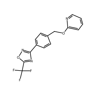 FC(F)(F)c1nc(-c2ccc(COc3ccccn3)cc2)no1